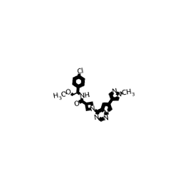 COC[C@H](NC(=O)C1CN(c2ncnn3cc(-c4cnn(C)c4)cc23)C1)c1ccc(Cl)cc1